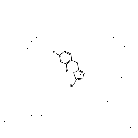 Fc1ccc(Cc2ncc(Br)s2)c(F)c1